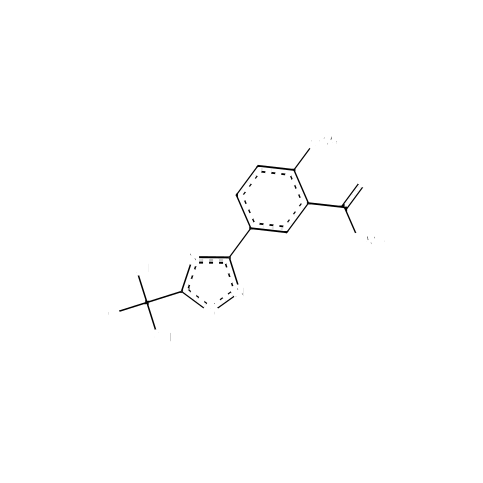 COC(=O)c1cc(-c2noc(C(C)(C)O)n2)ccc1OC